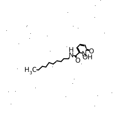 CCCCCCCCCCNC(=O)c1cccc(=O)n1O